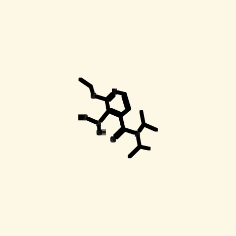 CCOc1nccc(C(=O)N(C(C)C)C(C)C)c1B(O)O